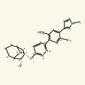 Cn1ccc(-c2cc(O)c(-c3ccc(S[C@H]4CC5CCCC(N5)[C@H]4F)nn3)cc2F)c1